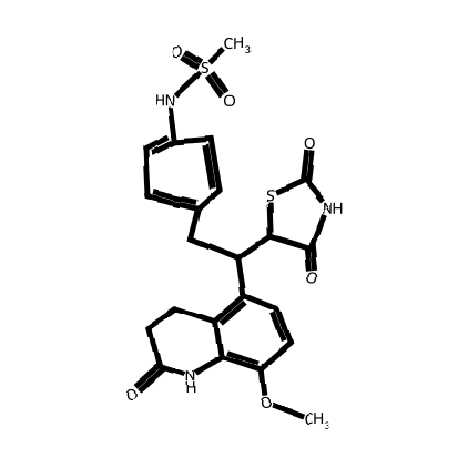 COc1ccc(C(Cc2ccc(NS(C)(=O)=O)cc2)C2SC(=O)NC2=O)c2c1NC(=O)CC2